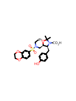 CC(C)CN(C[C@H]1OC(C)(C)N(C(=O)O)[C@H]1Cc1ccc(O)cc1)S(=O)(=O)c1ccc2c(c1)OCCO2